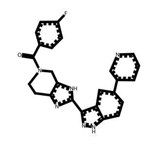 O=C(c1ccc(F)cc1)N1CCc2nc(-c3n[nH]c4ccc(-c5cccnc5)cc34)[nH]c2C1